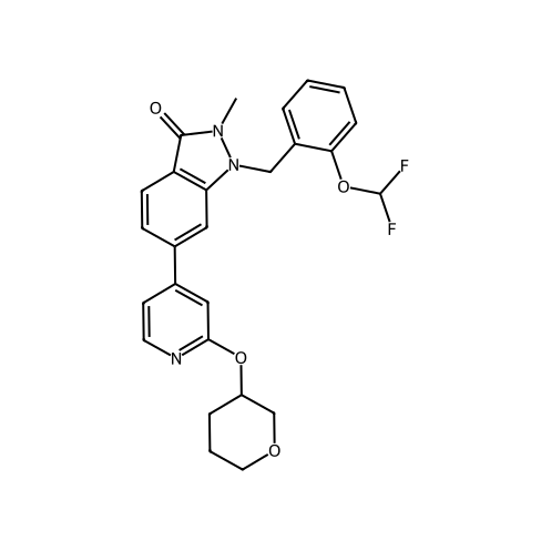 Cn1c(=O)c2ccc(-c3ccnc(OC4CCCOC4)c3)cc2n1Cc1ccccc1OC(F)F